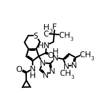 Cc1cc(Nc2nncn2C2(C(=O)NCC(C)(C)F)C(NC(=O)C3CC3)=CC3=C2CSCC3)n(C)n1